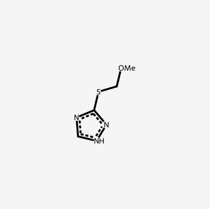 COCSc1nc[nH]n1